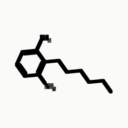 CCCCCCc1c(N)cccc1N